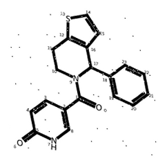 O=C(c1ccc(=O)[nH]c1)N1CCc2sccc2C1c1ccccc1